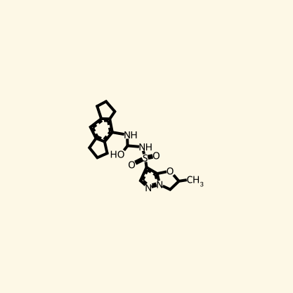 CC1Cn2ncc(S(=O)(=O)NC(O)Nc3c4c(cc5c3CCC5)CCC4)c2O1